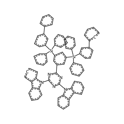 c1ccc(-c2cccc([Si](c3ccccc3)(c3ccccc3)c3cc(-c4nc(-n5c6ccccc6c6ccccc65)nc(-n5c6ccccc6c6ccccc65)n4)cc([Si](c4ccccc4)(c4ccccc4)c4cccc(-c5ccccc5)c4)c3)c2)cc1